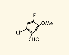 COc1cc(C=O)c(Cl)cc1F